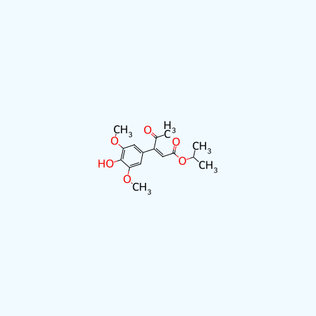 COc1cc(C(=CC(=O)OC(C)C)C(C)=O)cc(OC)c1O